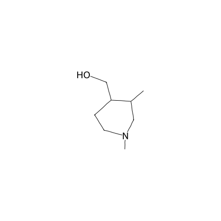 CC1CN(C)CCC1CO